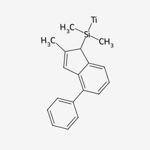 CC1=Cc2c(-c3ccccc3)cccc2C1[Si](C)(C)[Ti]